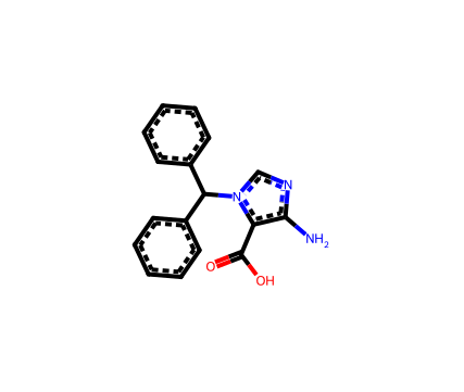 Nc1ncn(C(c2ccccc2)c2ccccc2)c1C(=O)O